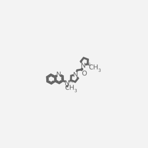 C[C@@H]1CCCN1C(=O)CN1CC[C@@H](N(C)c2cnc3ccccc3c2)C1